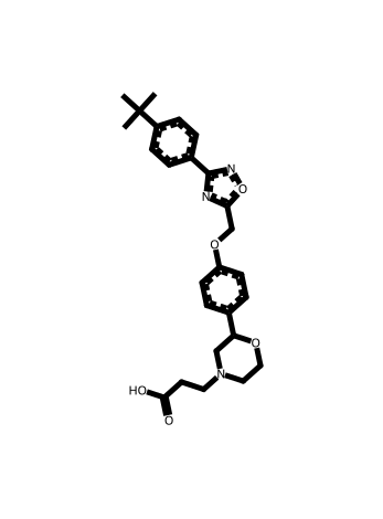 CC(C)(C)c1ccc(-c2noc(COc3ccc(C4CN(CCC(=O)O)CCO4)cc3)n2)cc1